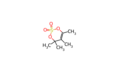 CC1=C(C)C(C)(C)OS(=O)(=O)O1